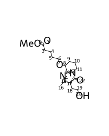 COC(=O)CCCCOC1CCCn2c1nc(C)c(CCO)c2=O